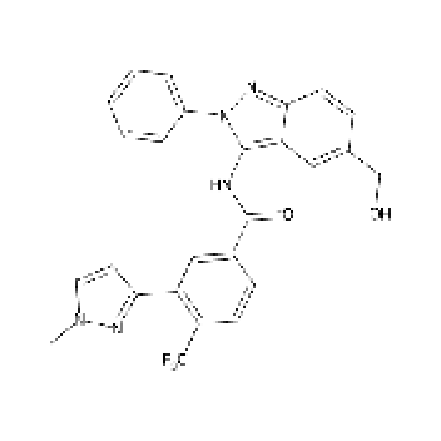 Cn1ccc(-c2cc(C(=O)Nc3c4cc(CO)ccc4nn3-c3ccccc3)ccc2C(F)(F)F)n1